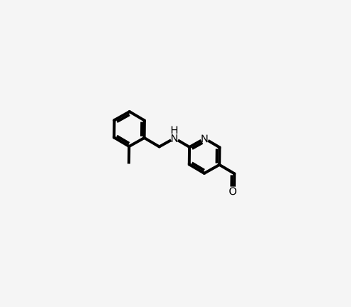 Cc1ccccc1CNc1ccc(C=O)cn1